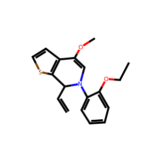 C=CC1c2sccc2C(OC)=CN1c1ccccc1OCC